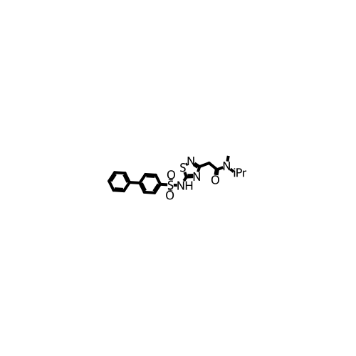 CC(C)N(C)C(=O)Cc1nsc(NS(=O)(=O)c2ccc(-c3ccccc3)cc2)n1